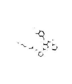 COc1ccc(CNc2nc(N3CCC[C@H]3COC(=O)COCCO[N+](=O)[O-])ncc2C(=O)N(C)c2ncccn2)cc1Cl